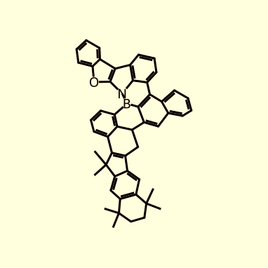 CC1(C)CCC(C)(C)c2cc3c(cc21)C1=C(c2cccc4c2C(C1)c1cc2ccccc2c2c1B4n1c4oc5ccccc5c4c4cccc-2c41)C3(C)C